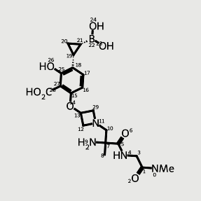 CNC(=O)CNC(=O)C(C)(N)CN1CC(Oc2ccc([C@@H]3C[C@@H]3B(O)O)c(O)c2C(=O)O)C1